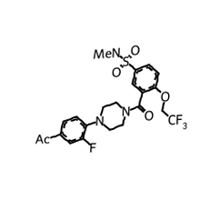 CNS(=O)(=O)c1ccc(OCC(F)(F)F)c(C(=O)N2CCN(c3ccc(C(C)=O)cc3F)CC2)c1